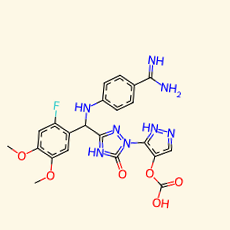 COc1cc(F)c(C(Nc2ccc(C(=N)N)cc2)c2nn(-c3[nH]ncc3OC(=O)O)c(=O)[nH]2)cc1OC